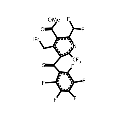 COC(=O)c1c(C(F)F)nc(C(F)(F)F)c(C(=S)c2c(F)c(F)c(F)c(F)c2F)c1CC(C)C